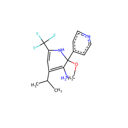 COC1(c2ccncc2)NC(C(F)(F)F)=CC(C(C)C)=C1N